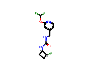 O=C(NCc1ccnc(OC(F)F)c1)N[C@@H]1CC[C@@H]1F